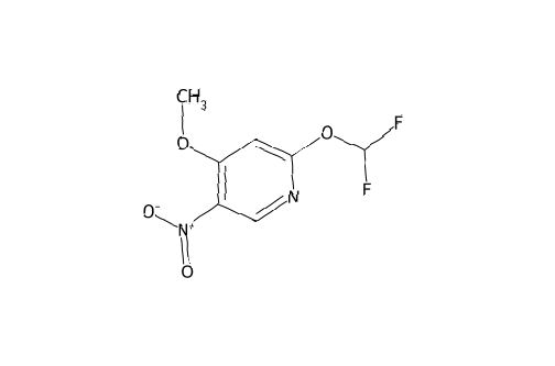 COc1cc(OC(F)F)ncc1[N+](=O)[O-]